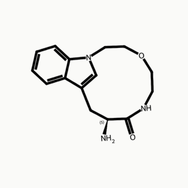 N[C@H]1Cc2cn(c3ccccc23)CCOCCNC1=O